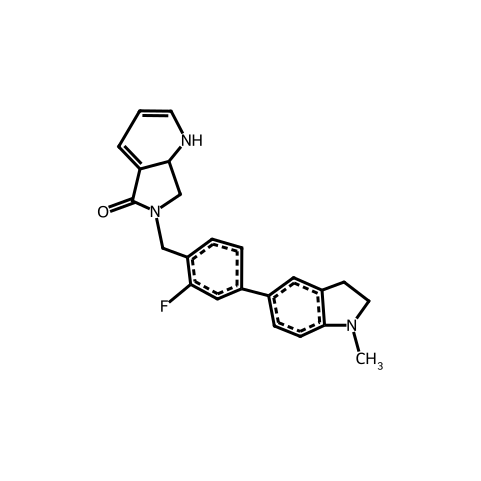 CN1CCc2cc(-c3ccc(CN4CC5NC=CC=C5C4=O)c(F)c3)ccc21